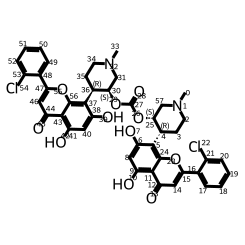 CN1CC[C@H](c2c(O)cc(O)c3c(=O)cc(-c4ccccc4Cl)oc23)[C@H](OC(=O)O[C@@H]2CN(C)CC[C@@H]2c2c(O)cc(O)c3c(=O)cc(-c4ccccc4Cl)oc23)C1